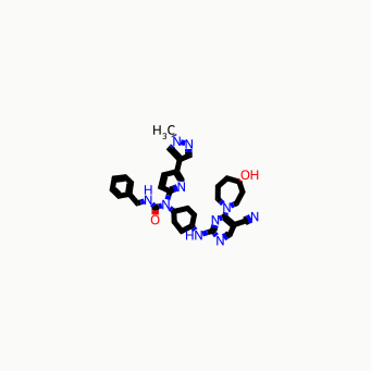 Cn1cc(-c2ccc(N(C(=O)NCc3ccccc3)C3CCC(Nc4ncc(C#N)c(N5CCCC(O)CC5)n4)CC3)nc2)cn1